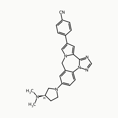 CN(C)[C@@H]1CCN(c2ccc3c(c2)Cn2cc(-c4ccc(C#N)cc4)cc2-c2ncnn2-3)C1